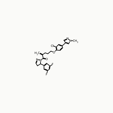 C=C(CCCOc1ccc(-c2cnn(C)c2)cc1Cl)C(=O)N1N=CCC1c1cc(F)cc(F)c1